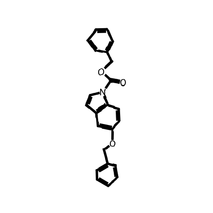 O=C(OCc1ccccc1)n1ccc2cc(OCc3ccccc3)ccc21